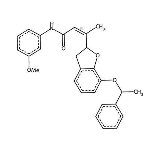 COc1cccc(NC(=O)/C=C(/C)C2Cc3cccc(OC(C)c4ccccc4)c3O2)c1